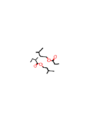 CCC(=O)OCCC(C)C.CCC(C)C(=O)OCCC(C)C